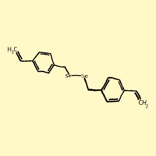 C=Cc1ccc(C[Se][Se]Cc2ccc(C=C)cc2)cc1